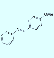 COc1ccc(C=Nc2ccccc2)cc1